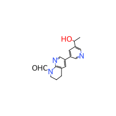 CC(O)c1cncc(-c2cnc3c(c2)CCCN3C=O)c1